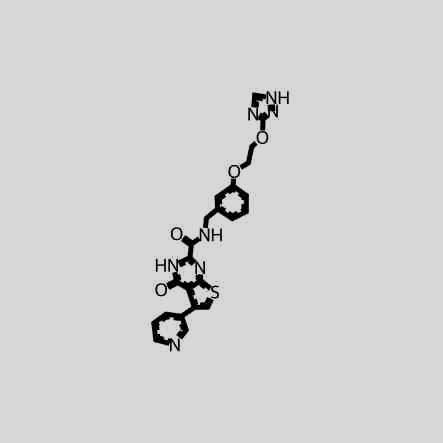 O=C(NCc1cccc(OCCOc2nc[nH]n2)c1)c1nc2scc(-c3cccnc3)c2c(=O)[nH]1